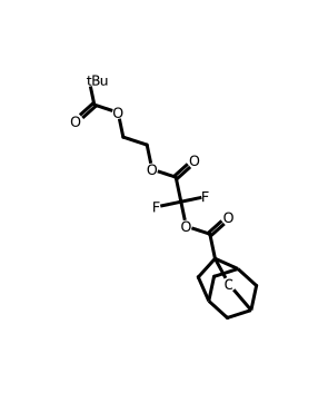 CC(C)(C)C(=O)OCCOC(=O)C(F)(F)OC(=O)C12CC3CC(CC1C3)C2